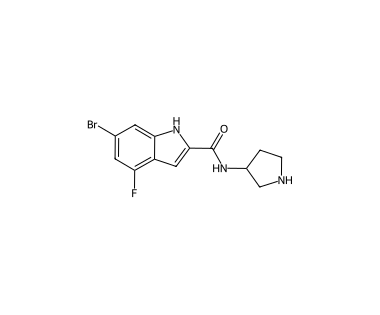 O=C(NC1CCNC1)c1cc2c(F)cc(Br)cc2[nH]1